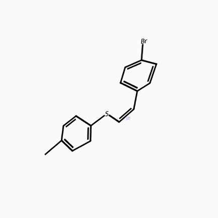 Cc1ccc(S/C=C\c2ccc(Br)cc2)cc1